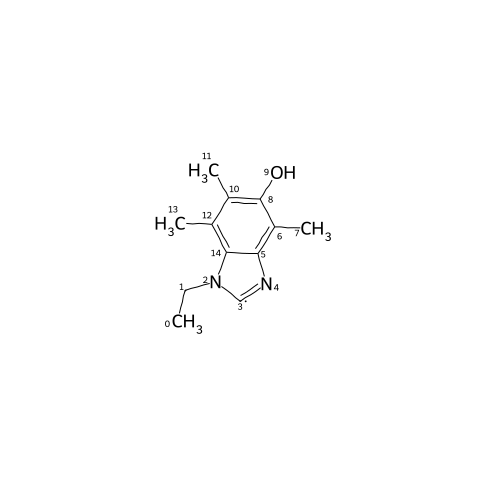 CCn1[c]nc2c(C)c(O)c(C)c(C)c21